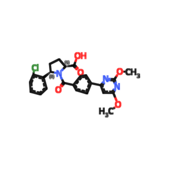 COc1cc(-c2ccc(C(=O)N3[C@@H](c4ccccc4Cl)CC[C@H]3C(=O)O)cc2)nc(OC)n1